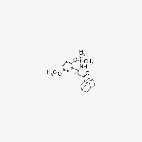 COc1ccc2c(c1)/C(=C/C(=O)C13CC4CC(CC(C4)C1)C3)NC(C)(C)O2